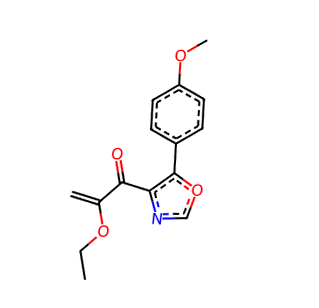 C=C(OCC)C(=O)c1ncoc1-c1ccc(OC)cc1